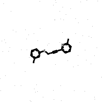 Cc1cccc(SCC#Cc2cccc(C)n2)c1